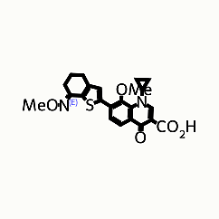 CO/N=C1\CCCc2cc(-c3ccc4c(=O)c(C(=O)O)cn(C5CC5)c4c3OC)sc21